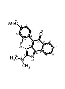 COc1ccc(C2=C3N=C(N(C)C)N=C3c3ccccc3C2=O)c(F)c1